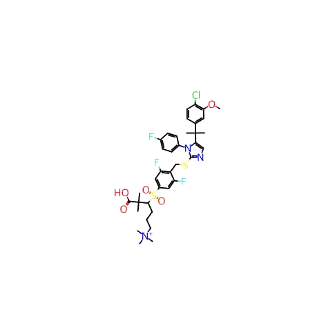 COc1cc(C(C)(C)c2cnc(SCc3c(F)cc(S(=O)(=O)C(CCC[N+](C)(C)C)C(C)(C)C(=O)O)cc3F)n2-c2ccc(F)cc2)ccc1Cl